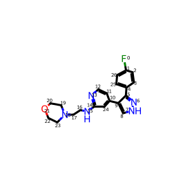 Fc1ccc(-c2n[nH]cc2-c2ccnc(NCCN3CCOCC3)c2)cc1